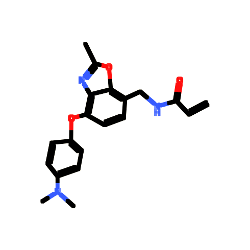 C=CC(=O)NCc1ccc(Oc2ccc(N(C)C)cc2)c2nc(C)oc12